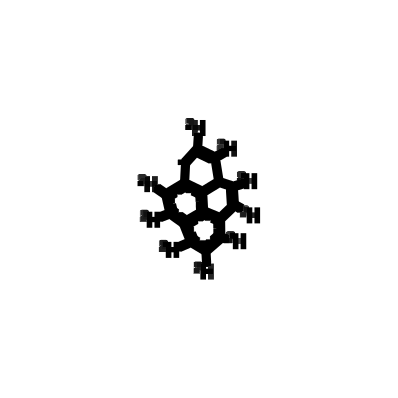 [2H]C1=C([2H])C2C([2H])=C([2H])c3c([2H])c([2H])c([2H])c4c([2H])c([2H])c(c2c34)[CH]1